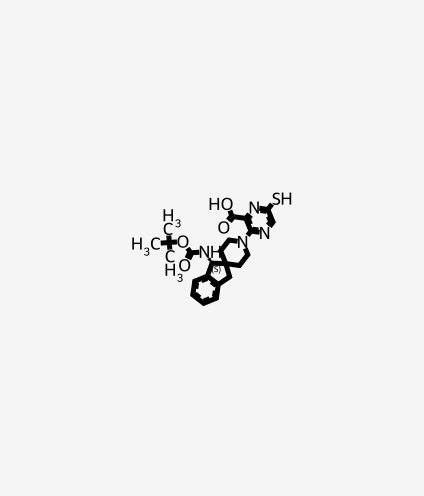 CC(C)(C)OC(=O)N[C@@H]1c2ccccc2CC12CCN(c1ncc(S)nc1C(=O)O)CC2